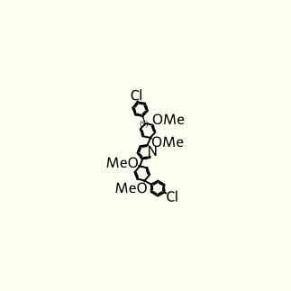 COC1=CC(OC)(c2ccc([C@]3(OC)C=C[C@](OC)(c4ccc(Cl)cc4)C=C3)cn2)C=C[C@H]1c1ccc(Cl)cc1